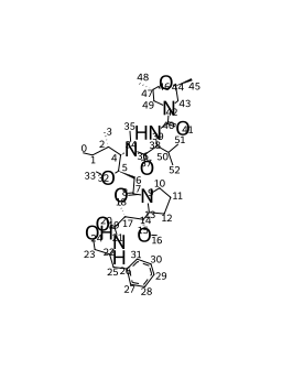 CC[C@H](C)[C@@H]([C@@H](CC(=O)N1CCCC1[C@H](OC)[C@@H](C)C(=O)NC(CO)Cc1ccccc1)OC)N(C)C(=O)C(NC(=O)N1C[C@H](C)O[C@@H](C)C1)C(C)C